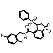 O=C(NCc1cc(F)ccc1F)c1cccc2c1C(S(=O)(=O)c1ccccc1)CS2(=O)=O